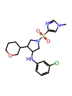 Cn1cnc(S(=O)(=O)N2CC(Nc3cccc(Cl)c3)C(C3CCCOC3)C2)c1